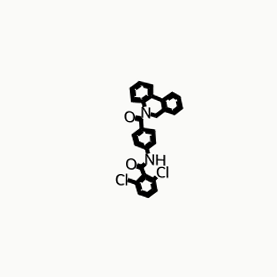 O=C(Nc1ccc(C(=O)N2Cc3ccccc3-c3ccccc32)cc1)c1c(Cl)cccc1Cl